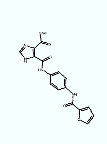 CNC(=O)c1nc[nH]c1C(=O)Nc1ccc(NC(=O)c2ccco2)cc1